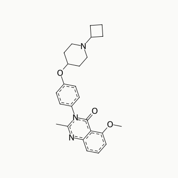 COc1cccc2nc(C)n(-c3ccc(OC4CCN(C5CCC5)CC4)cc3)c(=O)c12